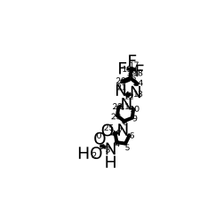 O=C(O)NC1CCN(C2CCN(c3ncc(C(F)(F)F)cn3)CC2)C1=O